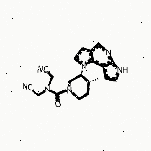 C[C@@H]1CCN(C(=O)N(CC#N)CC#N)C[C@@H]1n1ccc2cnc3[nH]ccc3c21